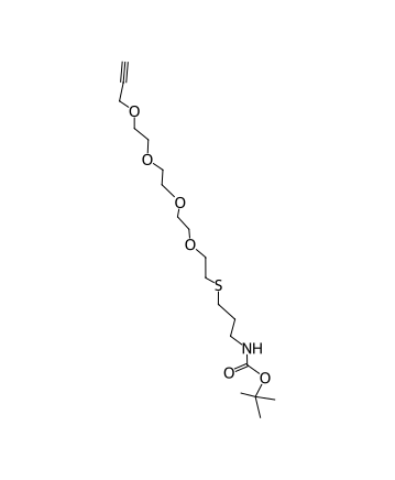 C#CCOCCOCCOCCOCCSCCCNC(=O)OC(C)(C)C